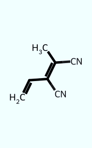 C=C/C(C#N)=C(\C)C#N